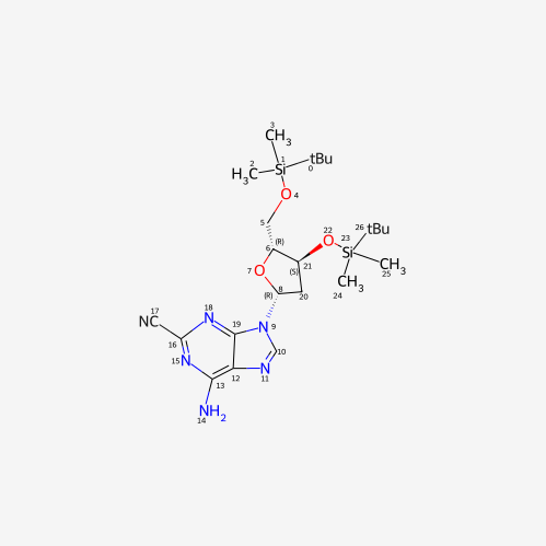 CC(C)(C)[Si](C)(C)OC[C@H]1O[C@@H](n2cnc3c(N)nc(C#N)nc32)C[C@@H]1O[Si](C)(C)C(C)(C)C